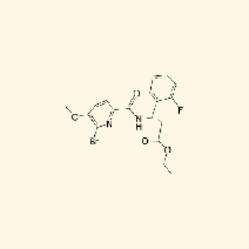 CCOC(=O)C[C@H](NC(=O)c1ccc(OC)c(Br)n1)c1ccccc1F